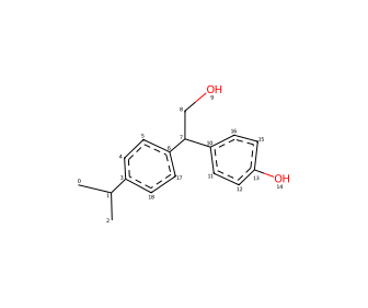 CC(C)c1ccc(C(CO)c2ccc(O)cc2)cc1